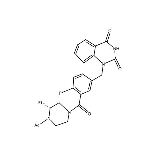 CC[C@@H]1CN(C(=O)c2cc(Cn3c(=O)[nH]c(=O)c4ccccc43)ccc2F)CCN1C(C)=O